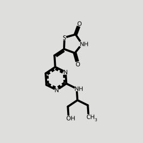 CCC(CO)Nc1nccc(/C=C2/SC(=O)NC2=O)n1